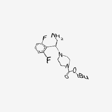 CC(C)(C)OC(=O)N1CCN(C(CN)c2c(F)cccc2F)CC1